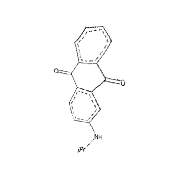 CC(C)Nc1ccc2c(c1)C(=O)c1ccccc1C2=O